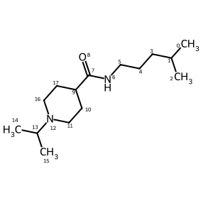 CC(C)CCCNC(=O)C1CCN(C(C)C)CC1